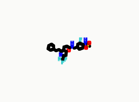 CS(=O)(=O)Nc1ccc(CNC(=O)/C=C\c2ccc(C(F)(F)F)nc2CCc2ccccc2)cc1F